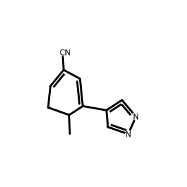 CC1CC=C(C#N)C=C1C1=C=NN=C1